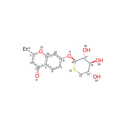 CCc1cc(=O)c2ccc(O[C@@H]3SC[C@@H](O)[C@H](O)[C@H]3O)cc2o1